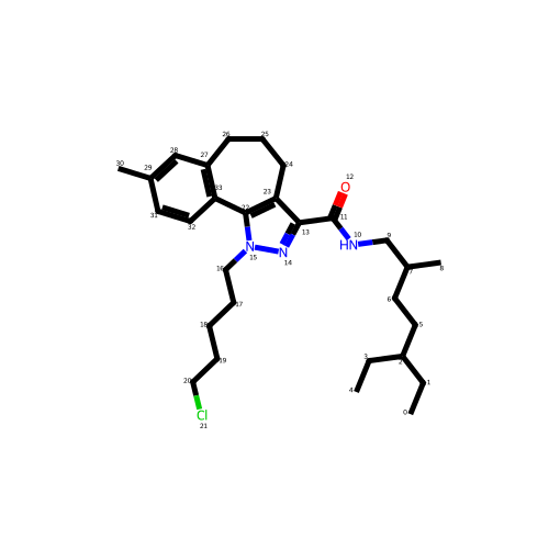 CCC(CC)CCC(C)CNC(=O)c1nn(CCCCCCl)c2c1CCCc1cc(C)ccc1-2